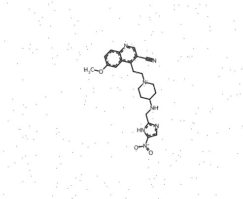 COc1ccc2ncc(C#N)c(CCN3CCC(NCc4ncc([N+](=O)[O-])[nH]4)CC3)c2c1